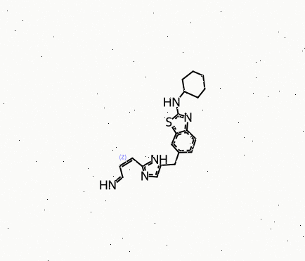 N=C/C=C\c1ncc(Cc2ccc3nc(NC4CCCCC4)sc3c2)[nH]1